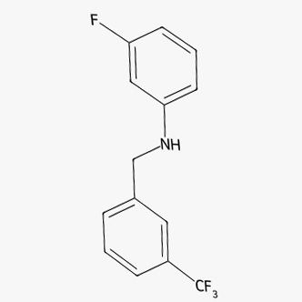 Fc1cccc(NCc2cccc(C(F)(F)F)c2)c1